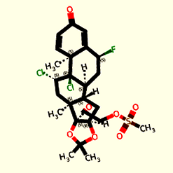 CC1(C)O[C@@H]2C[C@H]3[C@@H]4C[C@H](F)C5=CC(=O)C=C[C@]5(C)[C@@]4(Cl)[C@@H](Cl)C[C@]3(C)[C@]2(C(=O)COS(C)(=O)=O)O1